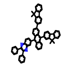 CC1(C)c2ccccc2-c2ccc(-c3ccc4c(-c5ccc6nc(-c7ccccc7)c(-c7ccccc7)nc6c5)c5ccccc5c(-c5ccc6c(c5)C(C)(C)c5ccccc5-6)c4c3)cc21